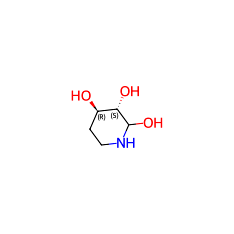 OC1NCC[C@@H](O)[C@@H]1O